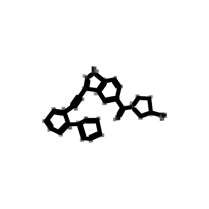 O=C(c1ccc2[nH]nc(C#Cc3ccccc3-c3ccccc3)c2c1)N1CCC(O)C1